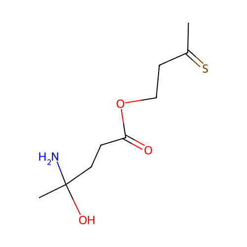 CC(=S)CCOC(=O)CCC(C)(N)O